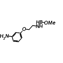 COBNCCOc1cccc(N)c1